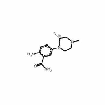 C[C@@H]1CN(C)CCN1c1ccc(N)c(C(N)=O)c1